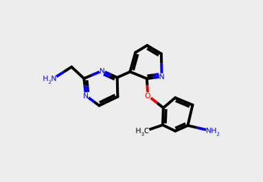 Cc1cc(N)ccc1Oc1ncccc1-c1ccnc(CN)n1